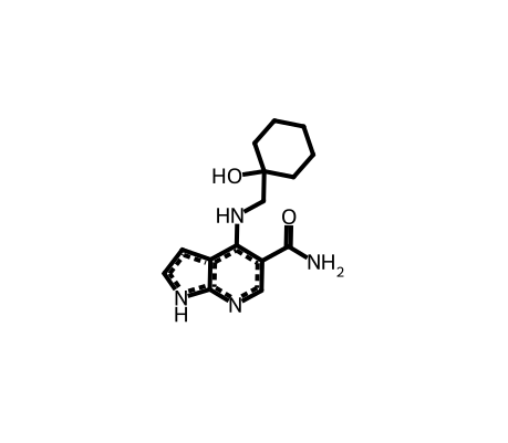 NC(=O)c1cnc2[nH]ccc2c1NCC1(O)CCCCC1